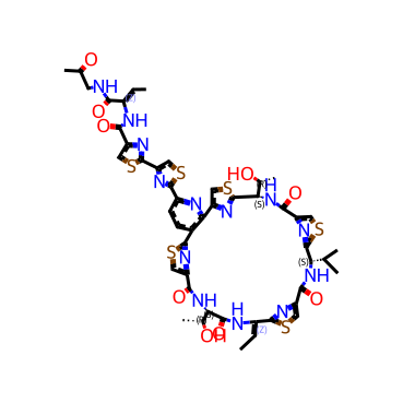 C/C=C(\NC(=O)c1csc(-c2csc(-c3ccc4c(n3)-c3csc(n3)[C@H]([C@@H](C)O)NC(=O)c3csc(n3)[C@H](C(C)C)NC(=O)c3csc(n3)/C(=C/C)NC(=O)[C@H]([C@@H](C)O)NC(=O)c3csc-4n3)n2)n1)C(=O)NCC(C)=O